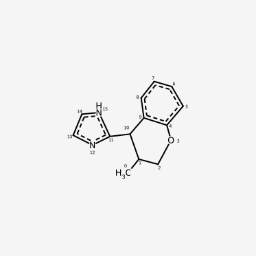 CC1COc2ccccc2C1c1ncc[nH]1